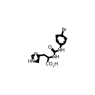 O=C(Nc1ccc(Br)cc1)NC(Cc1c[nH]cn1)C(=O)O